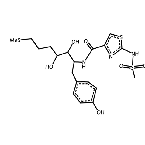 CSCCCC(O)C(O)C(Cc1ccc(O)cc1)NC(=O)c1csc(NS(C)(=O)=O)n1